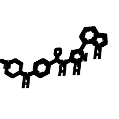 CN1CCC(Nc2ccc(C(=O)Nc3cc(-c4cccc5cc[nH]c45)n[nH]3)cc2)CC1